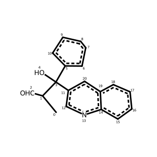 CC(C=O)C(O)(c1ccccc1)c1cnc2ccccc2c1